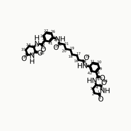 O=C1CCC(NC(=O)c2cccc(NC(=O)CCCCCCC(=O)Nc3cccc(C(=O)NC4CCC(=O)NC4=O)c3)c2)C(=O)N1